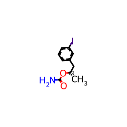 C[C@@H](Cc1cccc(I)c1)OC(N)=O